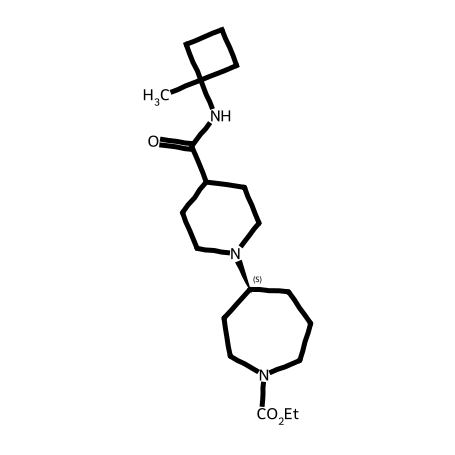 CCOC(=O)N1CCC[C@H](N2CCC(C(=O)NC3(C)CCC3)CC2)CC1